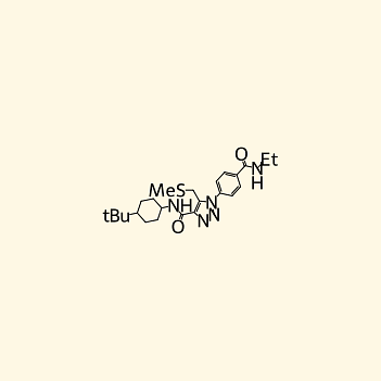 CCNC(=O)c1ccc(-n2nnc(C(=O)NC3CCC(C(C)(C)C)CC3)c2CSC)cc1